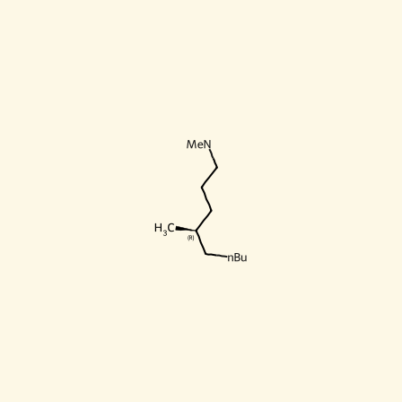 CCCCC[C@@H](C)CCCNC